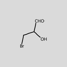 O=[C]C(O)CBr